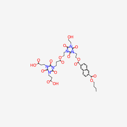 CCCCOC(=O)c1ccc2cc(C(=O)OCCn3c(=O)n(CCO)c(=O)n(CCOC(=O)CCn4c(=O)n(CCC(=O)O)c(=O)n(CCC(=O)O)c4=O)c3=O)ccc2c1